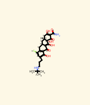 CC(C)(C)NCCCc1cc(F)c2c(c1O)C(=O)C1=C(O)[C@]3(O)C(=O)C(C(N)=O)=C(O)C[C@@H]3CC1C2